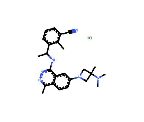 Cc1c(C#N)cccc1C(C)Nc1nnc(C)c2ccc(N3CC(C)(N(C)C)C3)cc12.Cl